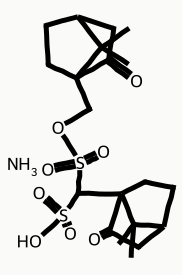 CC1(C)C2CCC1(COS(=O)(=O)C(C13CCC(CC1=O)C3(C)C)S(=O)(=O)O)C(=O)C2.N